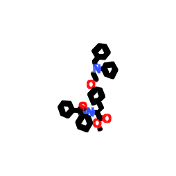 COC(=O)[C@H](Cc1ccc(OCCN(Cc2ccccc2)c2ccccc2)cc1)Nc1ccccc1C(=O)c1ccccc1